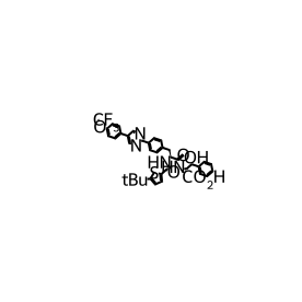 CC(C)(C)c1ccc(C(=O)N[C@@H](Cc2ccc(-c3ncc(-c4ccc(OC(F)(F)F)cc4)cn3)cc2)C(=O)NC(C(=O)O)C(O)c2ccccc2)s1